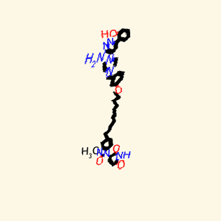 Cn1c(=O)n(C2CCC(=O)NC2=O)c2ccc(CCCCCCCCCCCOc3cccc(CN4CCN(c5cc(-c6ccccc6O)nnc5N)CC4)c3)cc21